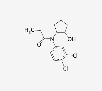 CCC(=O)N(c1ccc(Cl)c(Cl)c1)C1CCCC1O